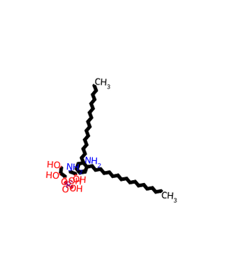 CCCCCCCCCCCCCCCCCCC1C=CC=CC1(N)CCCCCCCCCCCCCCCCCC.NCCO.O=P(O)(O)OCC(O)CO